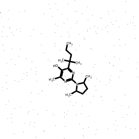 CCCC(C)(C)c1nc(N2C(C)CCC2C)nc(C)c1O